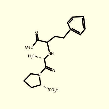 COC(=O)C(CCc1ccccc1)N[C@@H](C)C(=O)N1CCC[C@H]1C(=O)O